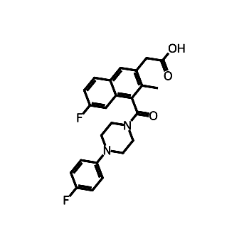 Cc1c(CC(=O)O)cc2ccc(F)cc2c1C(=O)N1CCN(c2ccc(F)cc2)CC1